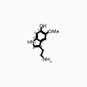 COc1cc2c(CCN)c[nH]c2cc1O